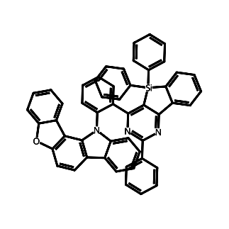 c1ccc(-c2nc(-c3ccccc3-n3c4ccccc4c4ccc5oc6ccccc6c5c43)c3c(n2)-c2ccccc2[Si]3(c2ccccc2)c2ccccc2)cc1